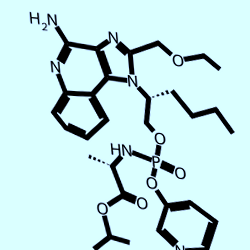 CCCC[C@H](COP(=O)(N[C@@H](C)C(=O)OC(C)C)Oc1cccnc1)n1c(COCC)nc2c(N)nc3ccccc3c21